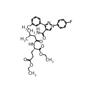 CCOC(=O)CC[C@@H](NC(=O)[C@@H](NC(=O)c1cn(-c2ccc(F)cc2)nc1-c1cccc(C)c1)C(C)C)C(=O)OCC